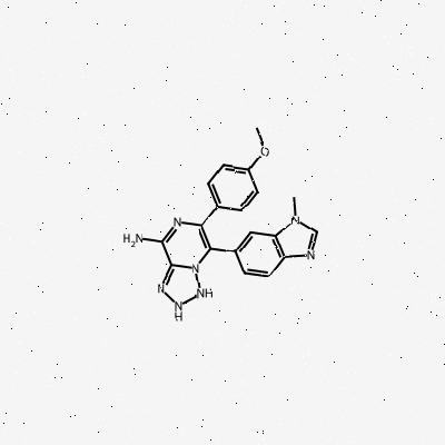 COc1ccc(C2=C(c3ccc4ncn(C)c4c3)N3NNN=C3C(N)=N2)cc1